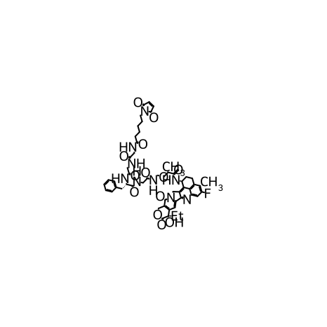 CC[C@@]1(O)C(=O)OCc2c1cc1n(c2=O)Cc2c-1nc1cc(F)c(C)c3c1c2[C@@H](NC(=O)[C@@H](C)OCNC(=O)CNC(=O)[C@H](Cc1ccccc1)NC(=O)CNC(=O)CNC(=O)CCCCCN1C(=O)C=CC1=O)CC3